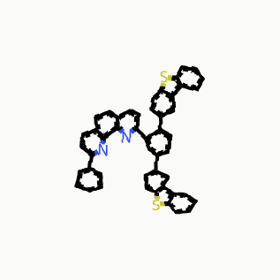 c1ccc(-c2ccc3ccc4ccc(-c5cc(-c6ccc7sc8ccccc8c7c6)ccc5-c5ccc6sc7ccccc7c6c5)nc4c3n2)cc1